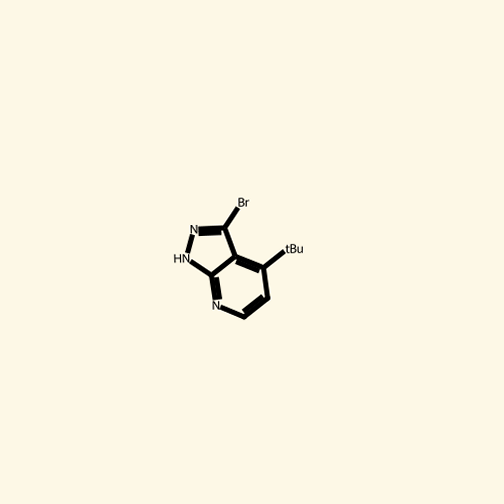 CC(C)(C)c1ccnc2[nH]nc(Br)c12